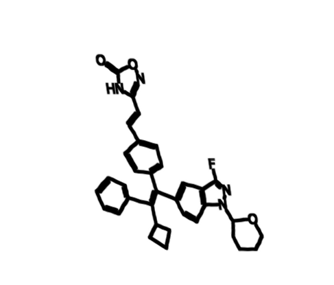 O=c1[nH]c(C=Cc2ccc(/C(=C(\c3ccccc3)C3CCC3)c3ccc4c(c3)c(F)nn4C3CCCCO3)cc2)no1